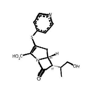 CC(CO)[C@@H]1C(=O)N2C(C(=O)O)=C(Sc3ccncc3)C[C@H]12